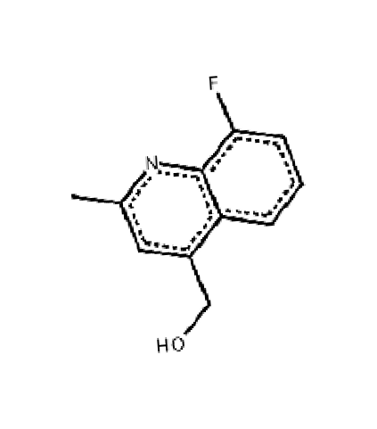 Cc1cc(CO)c2cccc(F)c2n1